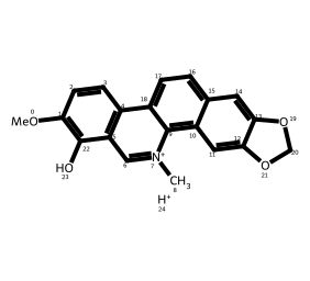 COc1ccc2c(c[n+](C)c3c4cc5c(cc4ccc23)OCO5)c1O.[H+]